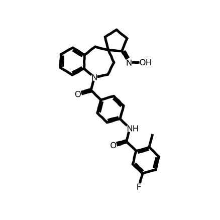 Cc1ccc(F)cc1C(=O)Nc1ccc(C(=O)N2CCC3(CCCC3=NO)Cc3ccccc32)cc1